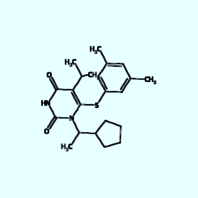 Cc1cc(C)cc(Sc2c(C(C)C)c(=O)[nH]c(=O)n2C(C)C2CCCC2)c1